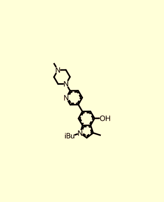 CCC(C)n1cc(C)c2c(O)cc(-c3ccc(N4CCN(C)CC4)nc3)cc21